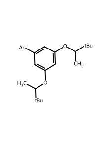 CC(=O)c1cc(OC(C)C(C)(C)C)cc(OC(C)C(C)(C)C)c1